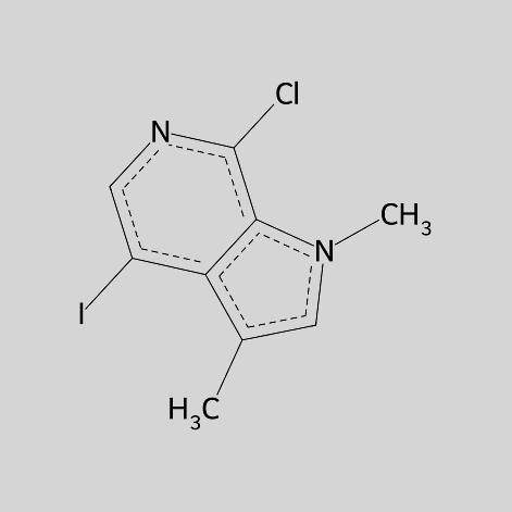 Cc1cn(C)c2c(Cl)ncc(I)c12